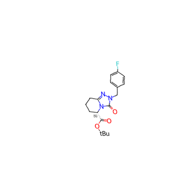 CC(C)(C)OC(=O)[C@@H]1CCCc2nn(Cc3ccc(F)cc3)c(=O)n21